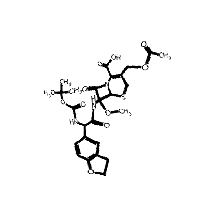 COC1(NC(=O)C(NC(=O)OC(C)(C)C)c2ccc3c(c2)CCO3)C(=O)N2C(C(=O)O)=C(COC(C)=O)CSC21